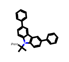 CCCC(C)C(C)(C)n1c2ccc(-c3ccccc3)cc2c2cc(-c3ccccc3)ccc21